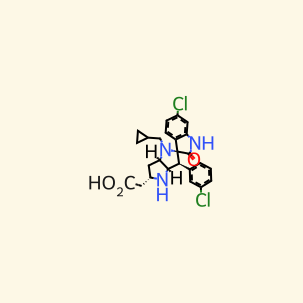 O=C(O)C[C@@H]1C[C@H]2[C@@H](N1)[C@H](c1cccc(Cl)c1)[C@]1(C(=O)Nc3cc(Cl)ccc31)N2CC1CC1